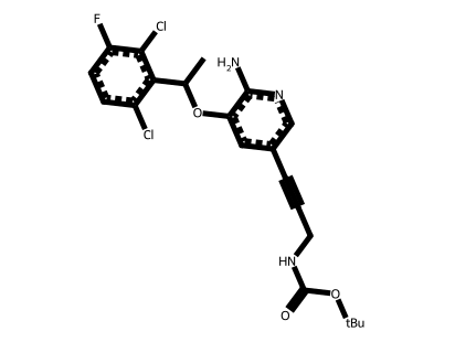 CC(Oc1cc(C#CCNC(=O)OC(C)(C)C)cnc1N)c1c(Cl)ccc(F)c1Cl